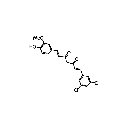 COc1cc(C=CC(=O)CC(=O)C=Cc2cc(Cl)cc(Cl)c2)ccc1O